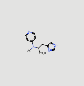 CC(=O)N(c1ccncc1)[C@@H](Cc1c[nH]cn1)C(=O)O